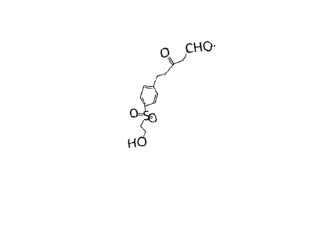 O=[C]CC(=O)CCc1ccc(S(=O)(=O)CCO)cc1